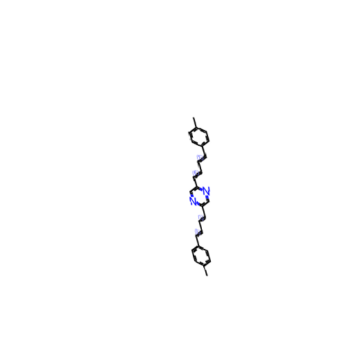 Cc1ccc(/C=C/C=C/c2cnc(/C=C/C=C/c3ccc(C)cc3)cn2)cc1